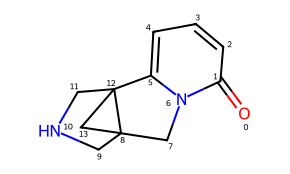 O=c1cccc2n1CC13CNCC21C3